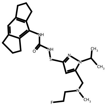 CC(C)n1nc(SNC(=O)Nc2c3c(cc4c2CCC4)CCC3)cc1CN(C)CCF